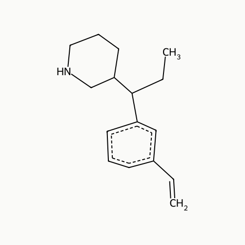 C=Cc1cccc(C(CC)C2CCCNC2)c1